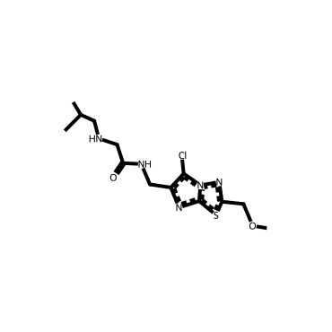 COCc1nn2c(Cl)c(CNC(=O)CNCC(C)C)nc2s1